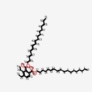 CCCCCCCCCCCCCCCCCCOC(=O)c1ccc(CC)c(CC)c1C(=O)OCCCCCCCCCCCCCCCCCC